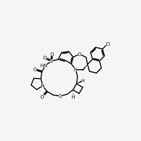 O=C1NS(=O)(=O)c2ccc3c(c2)N(C[C@@H]2CC[C@H]2COCC(=O)N2CCCC12)C[C@@]1(CCCc2cc(Cl)ccc21)CO3